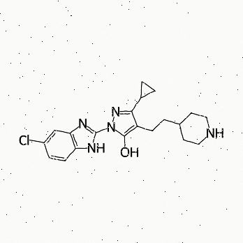 Oc1c(CCC2CCNCC2)c(C2CC2)nn1-c1nc2cc(Cl)ccc2[nH]1